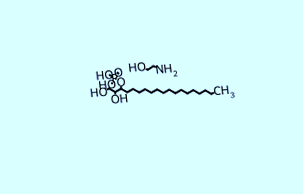 CCCCCCCCCCCCCCCCC(OP(=O)(O)O)C(O)CO.NCCO